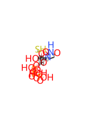 O=c1ccn([C@@H]2O[C@H](COP(=O)(O)OP(=O)(O)OP(=O)(O)O)[C@H](O)[C@H]2OCS)c(=O)[nH]1